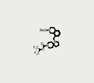 CSN1CCc2cccc(CN3CCCC34CCN(C(=O)OC(C(F)(F)F)C(F)(F)F)CC4)c2C1